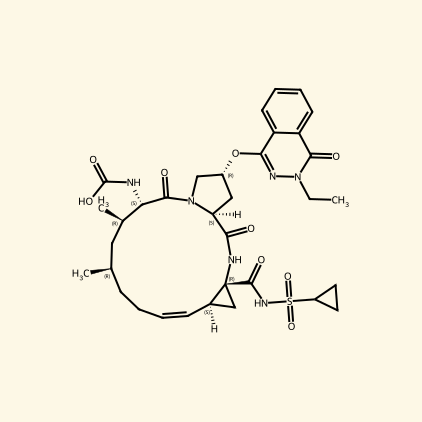 CCn1nc(O[C@@H]2C[C@H]3C(=O)N[C@]4(C(=O)NS(=O)(=O)C5CC5)C[C@H]4C=CCC[C@@H](C)C[C@@H](C)[C@H](NC(=O)O)C(=O)N3C2)c2ccccc2c1=O